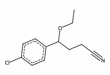 CCOC(CCC#N)c1ccc(Cl)cc1